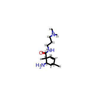 CC1=CC(N)C(C)(C(=O)NCCCN(C)C)C=C1